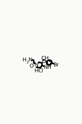 COc1ccc(Br)cc1NC1CCN(C(=O)CN)CC1.Cl